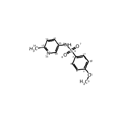 COc1ccc(S(=O)(=O)Nc2ccc(C)nc2)cc1